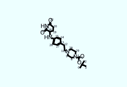 CC(C)(C)OC(=O)N1CCN(CCc2ccc(NC3CCC(=O)NC3=O)cc2)CC1